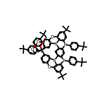 CC(C)(C)c1ccc(N2c3cc4c(cc3B3c5cc(C(C)(C)C)ccc5Oc5cc(C(C)(C)C)cc2c53)B2c3cc5c(cc3Oc3cc(C(C)(C)C)cc(c32)N4c2ccc(C(C)(C)C)cc2)Oc2cc(C(C)(C)C)cc3c2B5c2cc(C(C)(C)C)ccc2O3)cc1